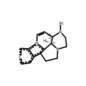 CC(=O)N1CCN2CCc3c4n(c5ccccc35)C=C[C@@H]1[C@H]42